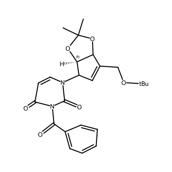 CC(C)(C)OCC1=CC(n2ccc(=O)n(C(=O)c3ccccc3)c2=O)[C@H]2OC(C)(C)OC12